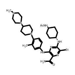 CCc1nc(C(N)=O)c(Nc2ccc(N3CCC(N4CCN(C)CC4)CC3)c(C)c2)nc1N[C@H]1CC[C@H](NC(C)=O)CC1